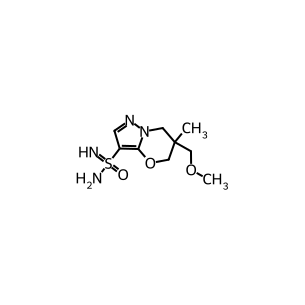 COCC1(C)COc2c(S(=N)(N)=O)cnn2C1